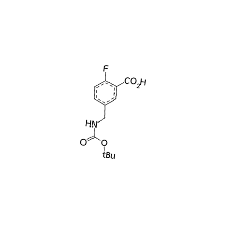 CC(C)(C)OC(=O)NCc1ccc(F)c(C(=O)O)c1